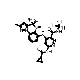 [2H]C([2H])([2H])NC(=O)c1nnc(NC(=O)C2CC2)cc1Nc1cccc2c1N(C)C([2H])([2H])c1cc(C)nn1-2